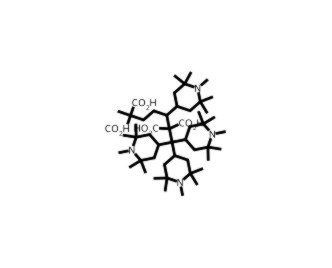 CN1C(C)(C)CC(C(CCC(C)(C(=O)O)C(=O)O)C(C(=O)O)(C(=O)O)C(C2CC(C)(C)N(C)C(C)(C)C2)(C2CC(C)(C)N(C)C(C)(C)C2)C2CC(C)(C)N(C)C(C)(C)C2)CC1(C)C